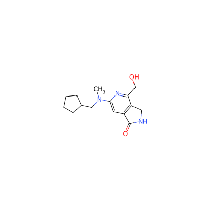 CN(CC1CCCC1)c1cc2c(c(CO)n1)CNC2=O